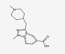 CN1CCC(Cc2nn(C)c3ccc(C(=O)O)cc23)CC1